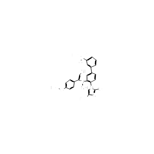 CCc1nc(C(F)(F)F)cn1-c1ccc(-c2cccc(S(C)(=O)=O)c2)cc1N(N)/C(=C\N)c1ccc(OC(F)(F)F)cc1